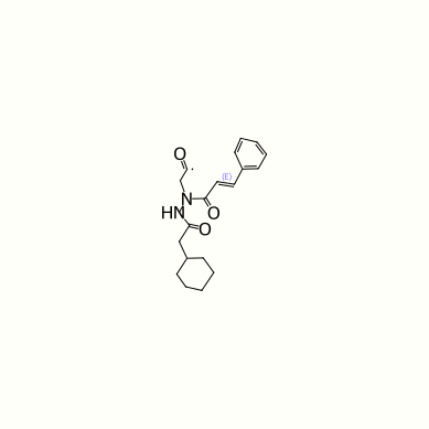 O=[C]CN(NC(=O)CC1CCCCC1)C(=O)/C=C/c1ccccc1